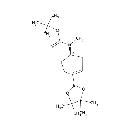 CN(C(=O)OC(C)(C)C)[C@H]1CC=C(B2OC(C)(C)C(C)(C)O2)CC1